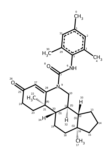 Cc1cc(C)c(NC(=O)N2C[C@H]3[C@@H]4CCC[C@@]4(C)CC[C@@H]3[C@@]3(C)CCC(=O)C=C23)c(C)c1